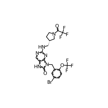 O=C(N1CC[C@@H](CNc2ncc3[nH]c(=O)n(Cc4cc(Br)ccc4OC(F)(F)F)c3n2)C1)C(F)(F)F